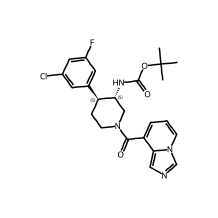 CC(C)(C)OC(=O)N[C@@H]1CN(C(=O)c2cccn3cncc23)CC[C@H]1c1cc(F)cc(Cl)c1